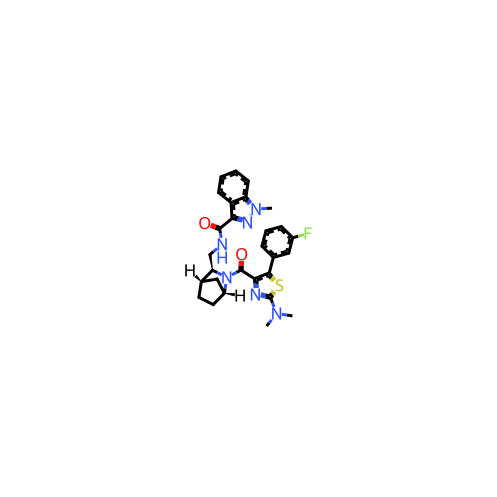 CN(C)c1nc(C(=O)N2[C@@H]3CC[C@@H](C3)[C@H]2CNC(=O)c2nn(C)c3ccccc23)c(-c2cccc(F)c2)s1